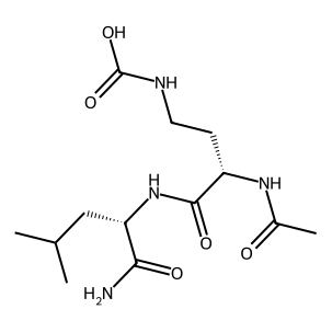 CC(=O)N[C@@H](CCNC(=O)O)C(=O)N[C@@H](CC(C)C)C(N)=O